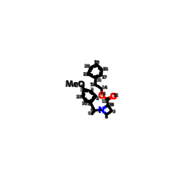 COc1ccc(C(C)N2CCC2C(=O)OCCc2ccccc2)cc1